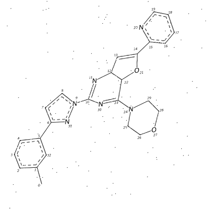 Cc1cccc(-c2ccn(C3=NC4C=C(c5ccccn5)OC4C(N4CCOCC4)=N3)n2)c1